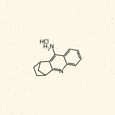 Cl.Nc1c2c(nc3ccccc13)C1CCC2C1